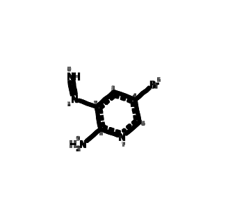 N=Nc1cc(Br)cnc1N